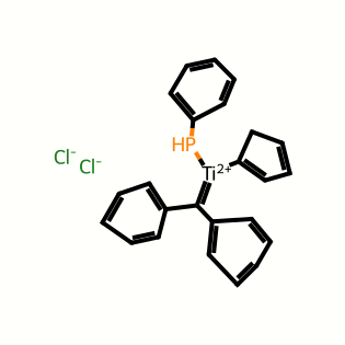 C1=CC[C]([Ti+2]([PH]c2ccccc2)=[C](c2ccccc2)c2ccccc2)=C1.[Cl-].[Cl-]